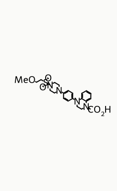 COCCS(=O)(=O)N1CCN(c2ccc(N3CCN(C(=O)O)c4ccccc43)cc2)CC1